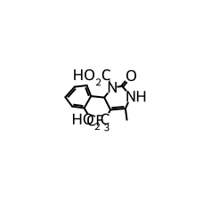 CC1=C(C(=O)O)C(c2ccccc2C(F)(F)F)N(C(=O)O)C(=O)N1